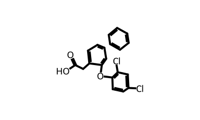 O=C(O)Cc1ccccc1Oc1ccc(Cl)cc1Cl.c1ccccc1